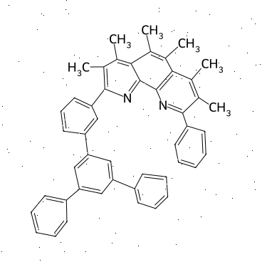 Cc1c(-c2ccccc2)nc2c(c1C)c(C)c(C)c1c(C)c(C)c(-c3cccc(-c4cc(-c5ccccc5)cc(-c5ccccc5)c4)c3)nc12